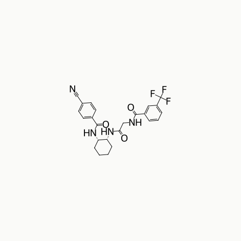 N#Cc1ccc(C(=O)N[C@H]2CCCC[C@H]2NC(=O)CNC(=O)c2cccc(C(F)(F)F)c2)cc1